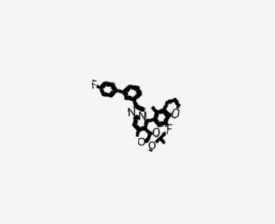 COC(=O)C(OC(C)(C)C)c1c(C)cc2nc(-c3cccc(-c4ccc(F)cc4)c3)cn2c1-c1cc(F)c2c(c1C)CCCO2